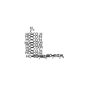 C.C.O=C(O)O.O=C(O)O.O=C(O)O.O=C(O)O.O=C(O)O.O=C(O)O.O=C(O)O.O=C(O)O.O=C(O)O.O=C(O)O.O=C(O)O.O=C(O)O